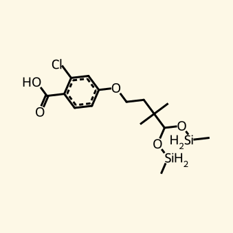 C[SiH2]OC(O[SiH2]C)C(C)(C)CCOc1ccc(C(=O)O)c(Cl)c1